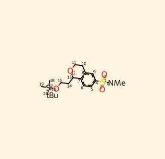 CNS(=O)(=O)c1ccc2c(c1)CCOC2CCO[Si](C)(C)C(C)(C)C